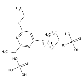 CC.CCC.CCOc1cc(C)nc(CC)n1.OP(O)(O)=S.OP(O)(O)=S